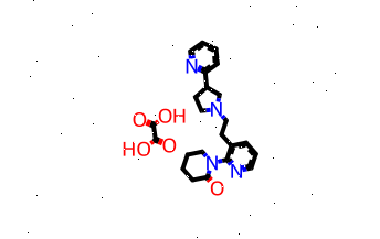 O=C(O)C(=O)O.O=C1CCCCN1c1ncccc1CCN1CCC(c2ccccn2)C1